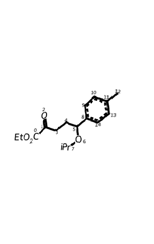 CCOC(=O)C(=O)CCC(OC(C)C)c1ccc(C)cc1